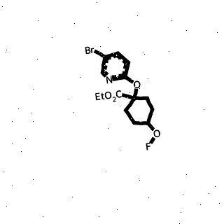 CCOC(=O)C1(Oc2ccc(Br)cn2)CCC(OF)CC1